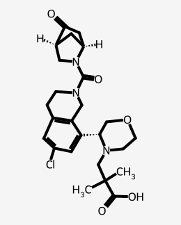 CC(C)(CN1CCOC[C@H]1c1cc(Cl)cc2c1CN(C(=O)N1C[C@@H]3C[C@H]1CC3=O)CC2)C(=O)O